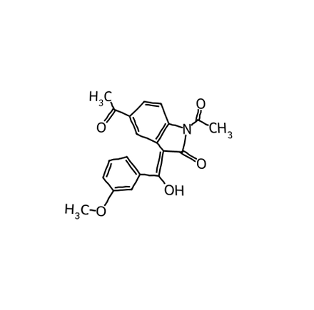 COc1cccc(/C(O)=C2/C(=O)N(C(C)=O)c3ccc(C(C)=O)cc32)c1